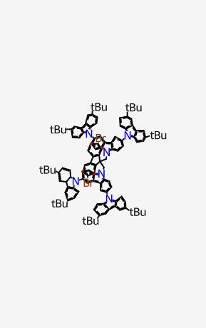 CC(C)(C)C1=CC2c3cc(C(C)(C)C)ccc3N(c3ccc4c(c3)c3cc(-n5c6ccc(C(C)(C)C)cc6c6cc(C(C)(C)C)ccc65)ccc3n4CC3(Cn4c5ccc(-n6c7ccc(C(C)(C)C)cc7c7cc(C(C)(C)C)ccc76)cc5c5cc(-n6c7ccc(C(C)(C)C)cc7c7cc(C(C)(C)C)ccc76)ccc54)c4cc(Br)ccc4-c4ccc(Br)cc43)C2C=C1